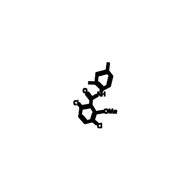 COc1c(Cl)ccc(Cl)c1C(=O)Nc1ccc(C)cc1C